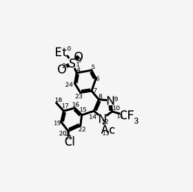 CCS(=O)(=O)c1ccc(-c2nc(C(F)(F)F)n(C(C)=O)c2-c2cc(C)cc(Cl)c2)cc1